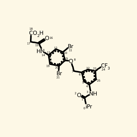 CC(C)C(=O)Nc1cc(COc2c(Br)cc(NC(=O)CC(=O)O)cc2Br)cc(C(F)(F)F)c1